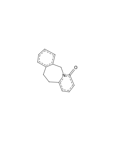 O=c1cccc2n1Cc1ccccc1CC2